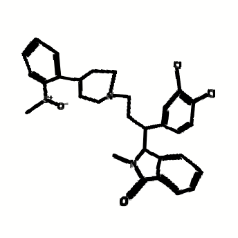 CN1C(=O)c2ccccc2C1C(CCN1CCC(c2ccccc2[S+](C)[O-])CC1)c1ccc(Cl)c(Cl)c1